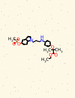 CCOC(=O)C(C)(C)Oc1ccc(NCCCn2ccc3cc(OS(C)(=O)=O)ccc32)cc1